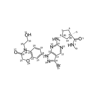 CNC(=O)[C@]1(C)CC[C@@H](Nc2ncc3c(Br)nn(-c4ccc5c(c4)OCC(=O)N5CCO)c3n2)C1